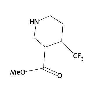 COC(=O)C1CNCCC1C(F)(F)F